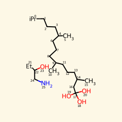 CC(C)CCCC(C)CCCC(C)CCCC(C)CC(O)(O)O.CCC(O)CN